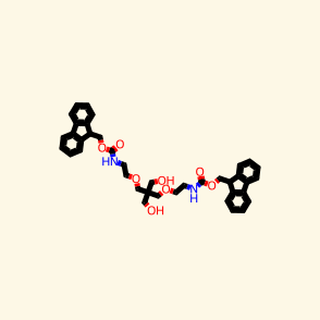 O=C(NCCOCC(CO)(CO)COCCNC(=O)OCC1c2ccccc2-c2ccccc21)OCC1c2ccccc2-c2ccccc21